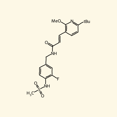 COc1nc(C(C)(C)C)ccc1C=CC(=O)NCc1ccc(NS(C)(=O)=O)c(F)c1